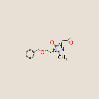 Cc1nn(CC2CO2)c(=O)n1CCOCc1ccccc1